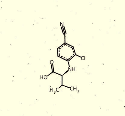 CC(C)[C@H](Nc1ccc(C#N)cc1Cl)C(=O)O